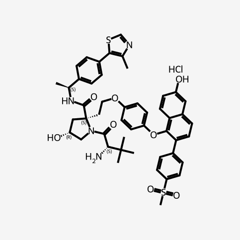 Cc1ncsc1-c1ccc([C@H](C)NC(=O)[C@]2(CCOc3ccc(Oc4c(-c5ccc(S(C)(=O)=O)cc5)ccc5cc(O)ccc45)cc3)C[C@@H](O)CN2C(=O)[C@@H](N)C(C)(C)C)cc1.Cl